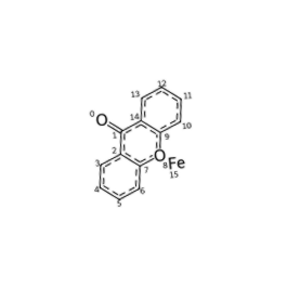 O=c1c2ccccc2oc2ccccc12.[Fe]